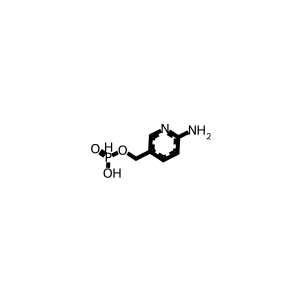 Nc1ccc(CO[PH](=O)O)cn1